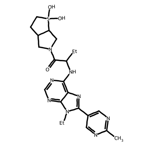 CCC(Nc1ncnc2c1nc(-c1cnc(C)nc1)n2CC)C(=O)N1CC2CCS(O)(O)C2C1